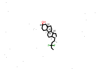 CCC(F)(F)C[C@@H](C)[C@H]1CC[C@H]2[C@@H]3CC[C@H]4C[C@@](C)(O)CC[C@]4(C)[C@H]3CC[C@]12C